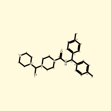 CCC(N1CCOCC1)N1CCN(C(=O)NC(c2ccc(C)cc2)c2ccc(C)cc2)CC1